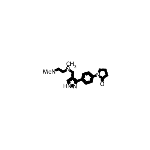 CNCCN(C)Cc1c[nH]nc1-c1ccc(N2CCCC2=O)cc1